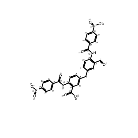 O=Cc1cc(Cc2ccc(NC(=O)c3ccc([N+](=O)[O-])cc3)c(C(=O)O)c2)ccc1NC(=O)c1ccc([N+](=O)[O-])cc1